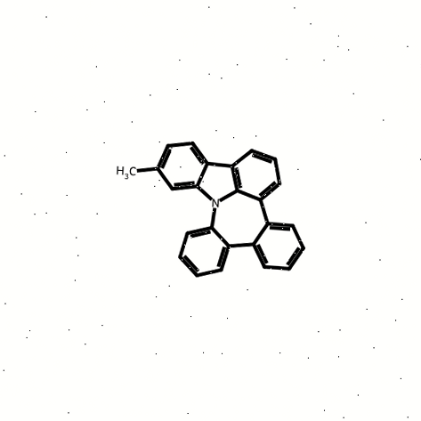 Cc1ccc2c3cccc4c3n(c2c1)-c1ccccc1-c1ccccc1-4